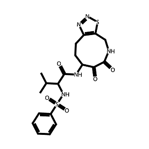 CC(C)C(NS(=O)(=O)c1ccccc1)C(=O)NC1CCc2nnsc2CNC(=O)C1=O